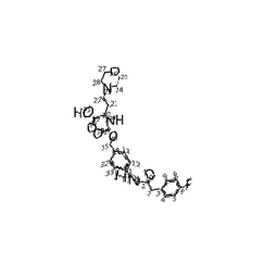 O=C(Cc1ccc(F)cc1)Nc1ccc(COC(=O)NC(CCN2CCOCC2)C(=O)O)cc1